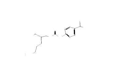 CCCCC(CC)COC(=O)Oc1ccc(C(C)C)cc1